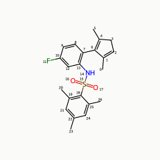 CC1=CCC(C)=C1c1ccc(F)cc1NS(=O)(=O)c1c(C)cc(C)cc1C